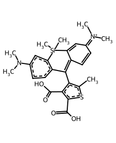 Cc1sc(C(=O)O)c(C(=O)O)c1C1=C2C=CC(=[N+](C)C)C=C2[Si](C)(C)c2cc(N(C)C)ccc21